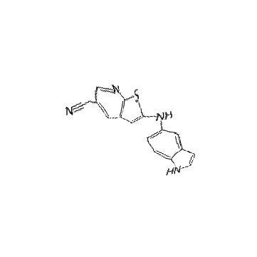 N#Cc1cnc2sc(Nc3ccc4[nH]ccc4c3)cc2c1